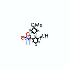 C#Cc1cccc([C@H]2NC(=O)O[C@@H]2c2cccc(OC)c2)c1